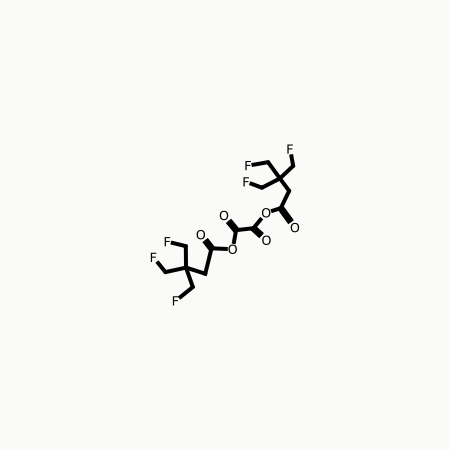 O=C(CC(CF)(CF)CF)OC(=O)C(=O)OC(=O)CC(CF)(CF)CF